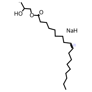 [CH2]C(O)COC(=O)CCCCCCC/C=C\CCCCCCCC.[NaH]